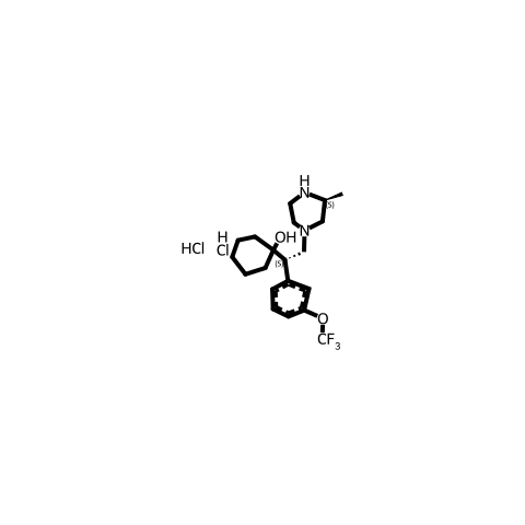 C[C@H]1CN(C[C@H](c2cccc(OC(F)(F)F)c2)C2(O)CCCCC2)CCN1.Cl.Cl